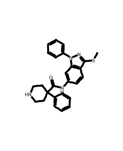 CSc1nn(-c2ccccc2)c2cc(NC(=O)C3(c4ccccc4)CCNCC3)ccc12